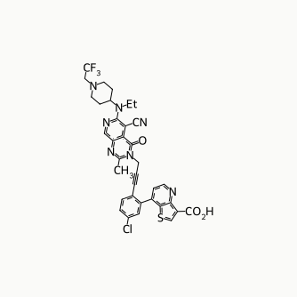 CCN(c1ncc2nc(C)n(CC#Cc3ccc(Cl)cc3-c3ccnc4c(C(=O)O)csc34)c(=O)c2c1C#N)C1CCN(CC(F)(F)F)CC1